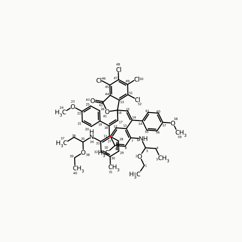 CCOC(CC)Nc1cc(C)ccc1C(=CC1(C=C(c2ccc(OC)cc2)c2ccc(C)cc2NC(CC)OCC)OC(=O)c2c(Cl)c(Cl)c(Cl)c(Cl)c21)c1ccc(OC)cc1